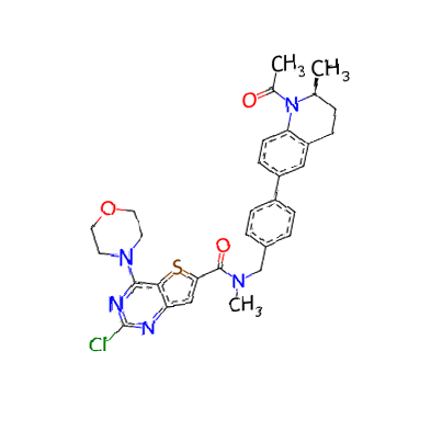 CC(=O)N1c2ccc(-c3ccc(CN(C)C(=O)c4cc5nc(Cl)nc(N6CCOCC6)c5s4)cc3)cc2CC[C@@H]1C